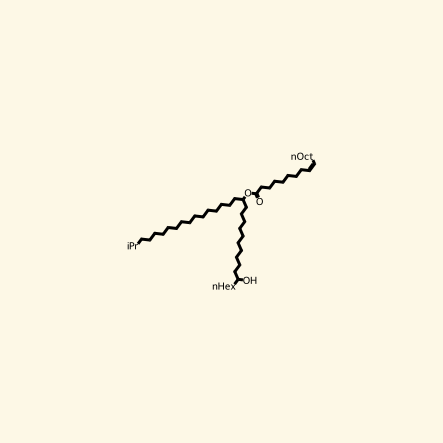 CCCCCCCC/C=C\CCCCCCCC(=O)OC(CCCCCCCCCCCCCCCC(C)C)CCCCCCCCCCC(O)CCCCCC